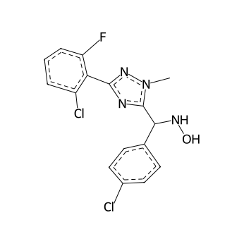 Cn1nc(-c2c(F)cccc2Cl)nc1C(NO)c1ccc(Cl)cc1